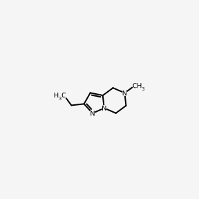 CCc1cc2n(n1)CCN(C)C2